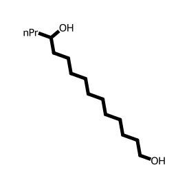 CCCC(O)CCCCCCCCCCCO